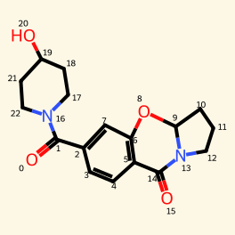 O=C(c1ccc2c(c1)OC1CCCN1C2=O)N1CCC(O)CC1